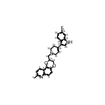 Cc1ccc2c3c(ccc2n1)OCC(CN1CC=C(c2c[nH]c4cc(F)ccc24)CC1)O3